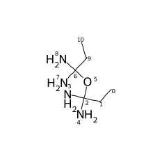 CCC(N)(N)OC(N)(N)CC